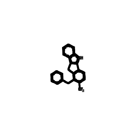 FC(F)(F)c1ccc2c(c1Cc1ccccc1)Cc1c-2[nH]c2ccccc12